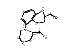 OCC1COc2c(cccc2N2CCNCC2CO)O1